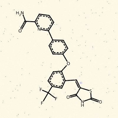 NC(=O)c1cccc(-c2ccc(Oc3ccc(C(F)(F)F)cc3/C=C3/SC(=O)NC3=O)cc2)n1